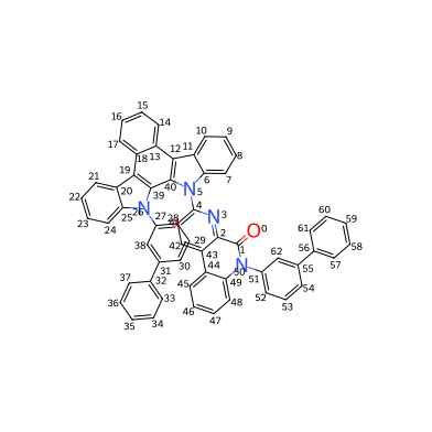 O=c1c2nc(-n3c4ccccc4c4c5ccccc5c5c6ccccc6n(-c6cccc(-c7ccccc7)c6)c5c43)ccc2c2ccccc2n1-c1cccc(-c2ccccc2)c1